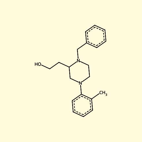 Cc1ccccc1N1CCN(Cc2ccccc2)C(CCO)C1